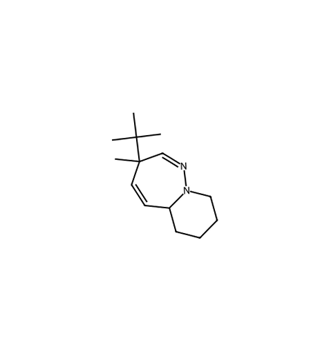 CC(C)(C)C1(C)C=CC2CCCCN2N=C1